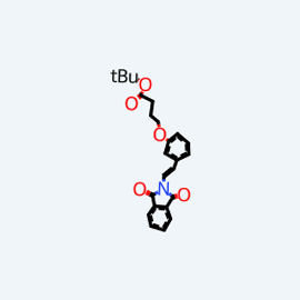 CC(C)(C)OC(=O)CCCOc1cccc(/C=C/N2C(=O)c3ccccc3C2=O)c1